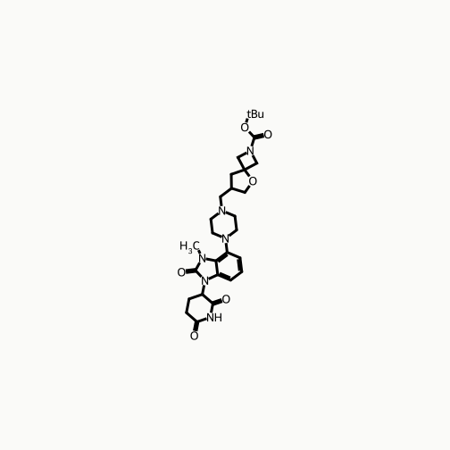 Cn1c(=O)n(C2CCC(=O)NC2=O)c2cccc(N3CCN(CC4COC5(C4)CN(C(=O)OC(C)(C)C)C5)CC3)c21